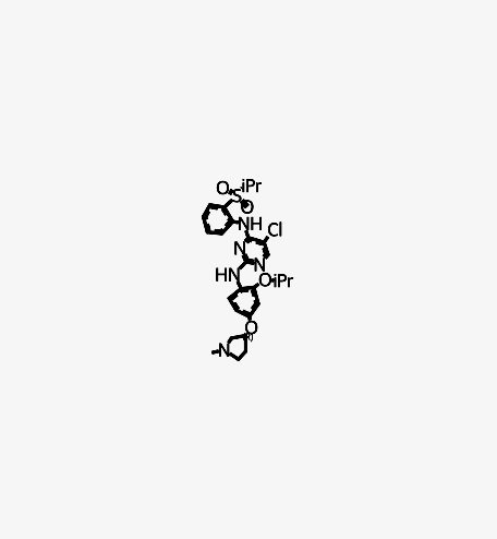 CC(C)Oc1cc(O[C@@H]2CCN(C)C2)ccc1Nc1ncc(Cl)c(Nc2ccccc2S(=O)(=O)C(C)C)n1